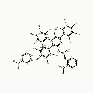 C=Cc1c(-c2c(F)c(F)c(F)c(F)c2F)cc(OB(O)O)c(-c2c(F)c(F)c(F)c(F)c2F)c1-c1c(F)c(F)c(F)c(F)c1F.CN(C)c1ccccc1.CN(C)c1ccccc1